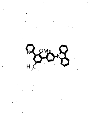 COc1c(-c2ccc(-n3c4ccccc4c4ccccc43)cc2)cc(C)cc1-c1ccccn1